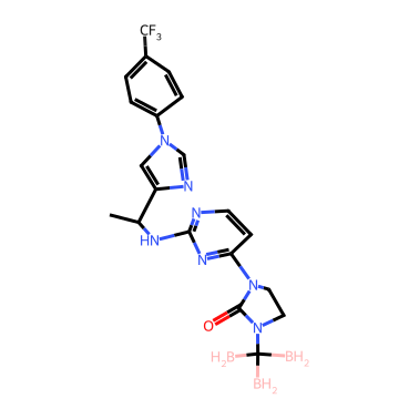 BC(B)(B)N1CCN(c2ccnc(NC(C)c3cn(-c4ccc(C(F)(F)F)cc4)cn3)n2)C1=O